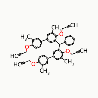 C#CCOc1ccc(-c2cc(C)c(OCC#C)c(C(c3ccccc3)c3cc(-c4ccc(OCC#C)c(C)c4)cc(C)c3OCC#C)c2)cc1C